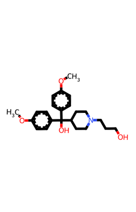 COc1ccc(C(O)(c2ccc(OC)cc2)C2CCN(CCCO)CC2)cc1